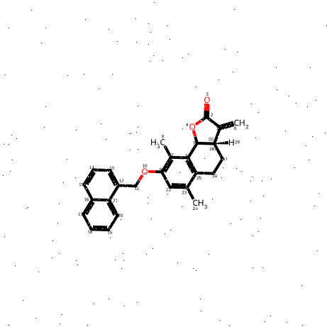 C=C1C(=O)OC2c3c(C)c(OCc4cccc5ccccc45)cc(C)c3CC[C@@H]12